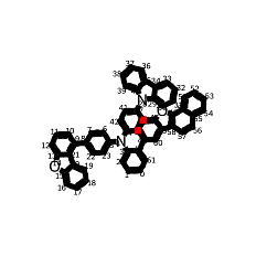 c1ccc(N(c2ccc(-c3cccc4oc5ccccc5c34)cc2)c2ccc(-n3c4ccccc4c4ccccc43)cc2)c(-c2ccc3oc4c5ccccc5ccc4c3c2)c1